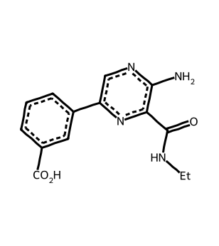 CCNC(=O)c1nc(-c2cccc(C(=O)O)c2)cnc1N